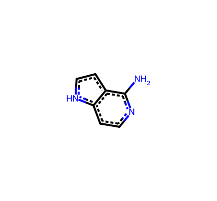 Nc1nccc2[nH]ccc12